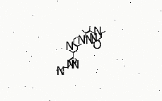 Cc1cc(=O)n2nc(N3CCc4ncc(-c5cnn(CCN(C)C)c5)cc4C3)c(C)c(C)c2n1